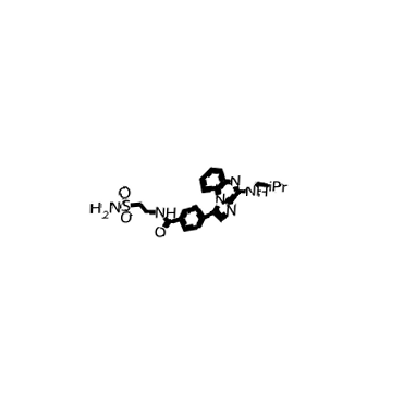 CC(C)CNc1nc2ccccc2n2c(-c3ccc(C(=O)NCCS(N)(=O)=O)cc3)cnc12